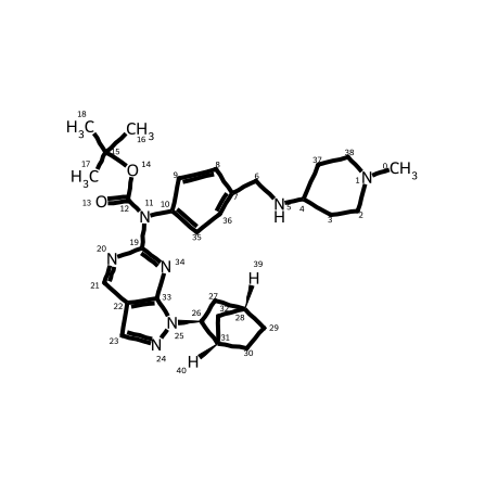 CN1CCC(NCc2ccc(N(C(=O)OC(C)(C)C)c3ncc4cnn([C@H]5C[C@@H]6CC[C@H]5C6)c4n3)cc2)CC1